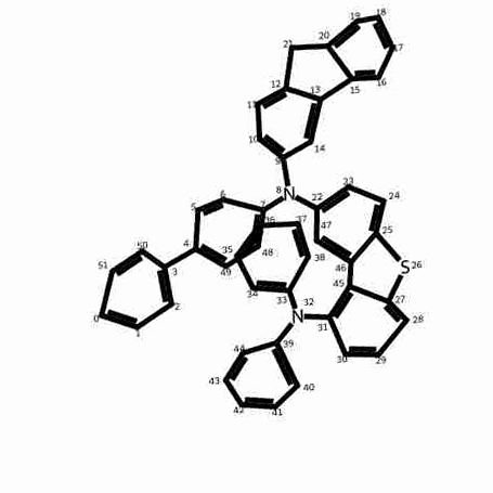 c1ccc(-c2ccc(N(c3ccc4c(c3)-c3ccccc3C4)c3ccc4sc5cccc(N(c6ccccc6)c6ccccc6)c5c4c3)cc2)cc1